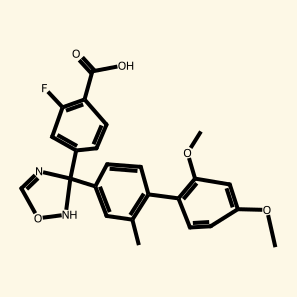 COc1ccc(-c2ccc(C3(c4ccc(C(=O)O)c(F)c4)N=CON3)cc2C)c(OC)c1